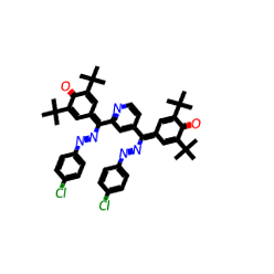 CC(C)(C)C1=CC(=C(/N=N/c2ccc(Cl)cc2)c2ccnc(C(/N=N/c3ccc(Cl)cc3)=C3C=C(C(C)(C)C)C(=O)C(C(C)(C)C)=C3)c2)C=C(C(C)(C)C)C1=O